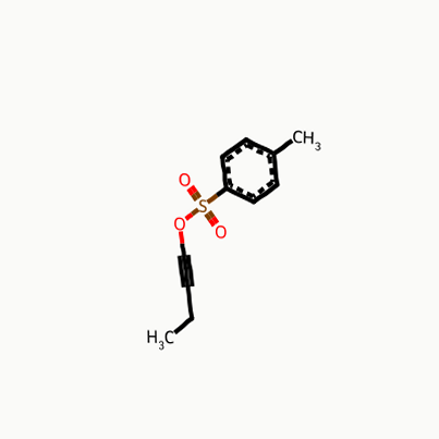 CCC#COS(=O)(=O)c1ccc(C)cc1